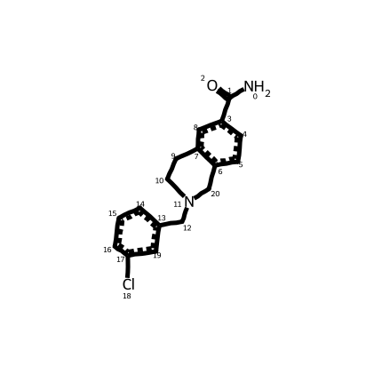 NC(=O)c1ccc2c(c1)CCN(Cc1cccc(Cl)c1)C2